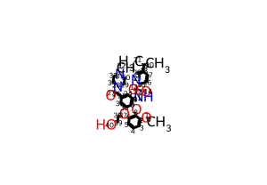 COc1ccccc1Oc1c(NS(=O)(=O)c2ccc(C(C)C)cn2)cc(C(=O)N2CCN(C)CC2)cc1OCCO